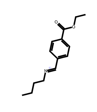 CCCC/N=C/c1ccc(C(=O)OCC)cc1